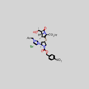 CC(=O)Cn1cc[n+]([C@@]2(C)C[C@H](SC3=C(C(=O)O)N4C(=O)[C@H]([C@@H](C)O)[C@H]4[C@H]3C)CN2C(=O)OCc2ccc([N+](=O)[O-])cc2)c1.[Br-]